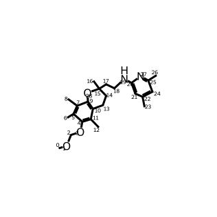 COCOc1c(C)c(C)c2c(c1C)CCC(C)(CCNc1cc(C)cc(C)n1)O2